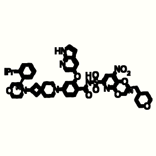 CC(C)c1ccccc1[C@@H]1COCCN1C1CC2(CCN(c3ccc(C(=O)NS(=O)(=O)c4cc([N+](=O)[O-])c5c(n4)OC[C@H](CC4CCOCC4)O5)c(Oc4cnc5[nH]ccc5c4)c3)CC2)C1